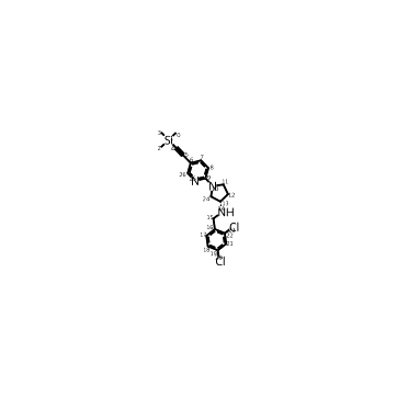 C[Si](C)(C)C#Cc1ccc(N2CC[C@H](NCc3ccc(Cl)cc3Cl)C2)nc1